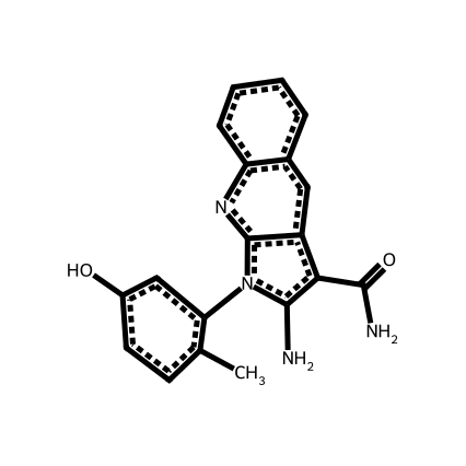 Cc1ccc(O)cc1-n1c(N)c(C(N)=O)c2cc3ccccc3nc21